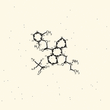 CCN(N)C(=O)C[n+]1c2ccccc2c(C(=O)Oc2c(C)cccc2C)c2ccccc21.O=C([O-])C(F)(F)F